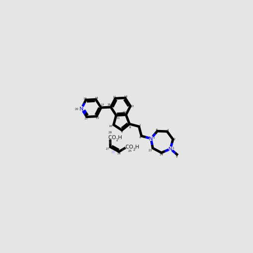 CN1CCCN(CCC2=CCc3c2cccc3-c2ccncc2)CC1.O=C(O)/C=C\C(=O)O